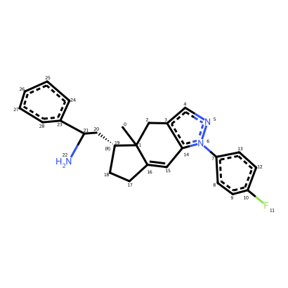 CC12Cc3cnn(-c4ccc(F)cc4)c3C=C1CC[C@@H]2CC(N)c1ccccc1